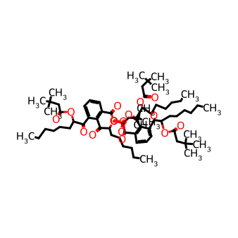 CCCCCCC(OC(=O)CC(C)(C)C)C(=O)c1cccc(C(=O)OOC(=O)c2cccc(C(=O)C(CCCCCC)OC(=O)CC(C)(C)C)c2C(=O)C(CCCCCC)OC(=O)CC(C)(C)C)c1C(=O)C(CCCCCC)OC(=O)CC(C)(C)C